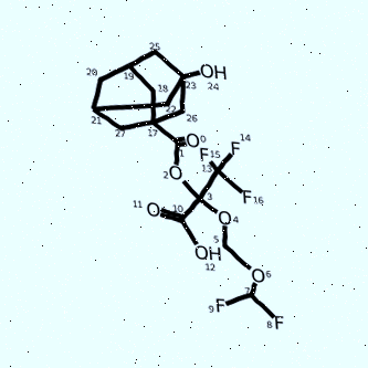 O=C(OC(OCOC(F)F)(C(=O)O)C(F)(F)F)C12CC3CC(CC(O)(C3)C1)C2